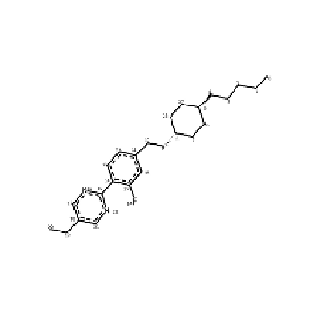 CCCCC[C@H]1CC[C@H](CCc2ccc(-c3ncc(CC)cn3)c(F)c2)CC1